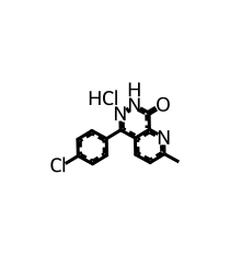 Cc1ccc2c(-c3ccc(Cl)cc3)n[nH]c(=O)c2n1.Cl